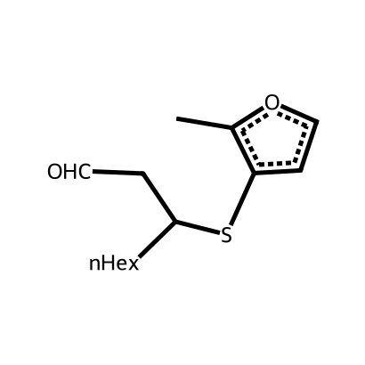 CCCCCCC(CC=O)Sc1ccoc1C